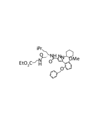 CCOC(=O)CCNC(=O)C[C@H](CCC(C)C)NC(=O)c1cc(-c2c(OC)cccc2OCc2ccccc2)n(C2CCCCC2)n1